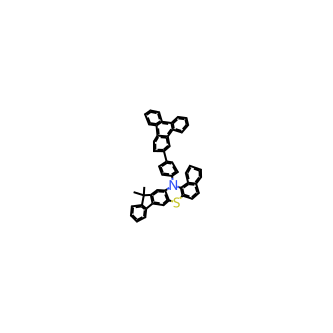 CC1(C)c2ccccc2-c2cc3c(cc21)N(c1ccc(-c2ccc4c5ccccc5c5ccccc5c4c2)cc1)c1c(ccc2ccccc12)S3